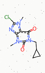 Cn1c(Cl)nc2c1c(=O)n(CC1CC1)c(=O)n2C